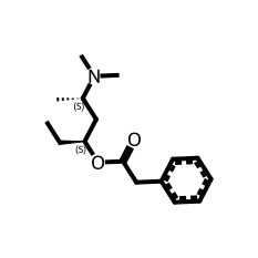 CC[C@@H](C[C@H](C)N(C)C)OC(=O)Cc1ccccc1